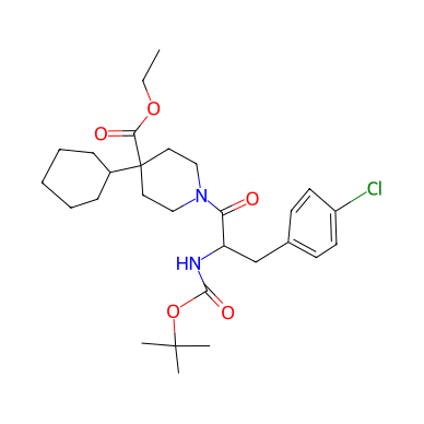 CCOC(=O)C1(C2CCCCC2)CCN(C(=O)C(Cc2ccc(Cl)cc2)NC(=O)OC(C)(C)C)CC1